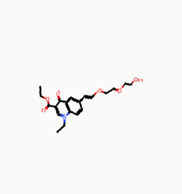 CCOC(=O)c1cn(CC)c2ccc(/C=C/OCCOCCO)cc2c1=O